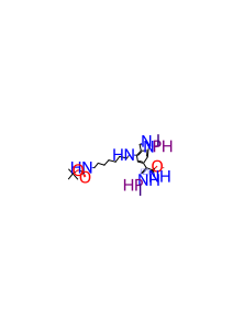 COC(=N)/C(=C\NPI)c1cc(NCCCCCCCNC(=O)OC(C)(C)C)c2cnn(PI)c2c1